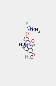 COc1cc(C2(NC(=O)c3cc(OC[C@@H]4C[C@@H](F)CN4C)ccc3C)CC2)c2ccccc2c1